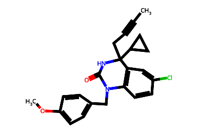 CC#CCC1(C2CC2)NC(=O)N(Cc2ccc(OC)cc2)c2ccc(Cl)cc21